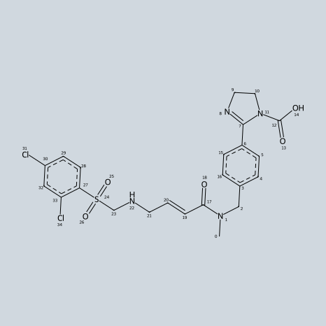 CN(Cc1ccc(C2=NCCN2C(=O)O)cc1)C(=O)/C=C/CNCS(=O)(=O)c1ccc(Cl)cc1Cl